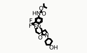 CC(C)OC(=O)Nc1ccc(N2CCC[C@]3(CCN([C@H]4CC[C@H](O)CC4)C3=O)C2)c(C(F)(F)F)c1